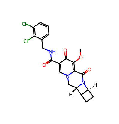 COc1c2n(cc(C(=O)NCc3cccc(Cl)c3Cl)c1=O)C[C@H]1C3CC[C@@H]3N1C2=O